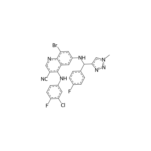 Cn1cc(C(Nc2cc(Br)c3ncc(C#N)c(Nc4ccc(F)c(Cl)c4)c3c2)c2ccc(F)cc2)nn1